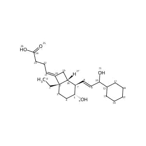 CC[C@]12CC[C@@H](O)[C@H](/C=C/C(O)C3CCCCC3)[C@H]1CC2=CCCC(=O)O